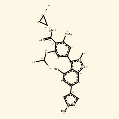 COc1cc(-c2c3c(C#N)cc(-c4cnn(C(C)(C)C)c4)cc3nn2C)cc(OC(F)F)c1C(=O)N[C@@H]1C[C@@H]1F